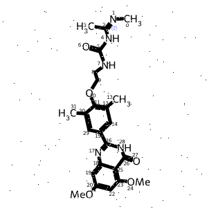 C/N=C(/C)NC(=O)NCCOc1c(C)cc(-c2nc3cc(OC)cc(OC)c3c(=O)[nH]2)cc1C